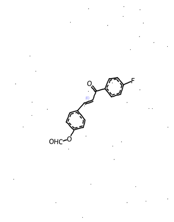 O=COc1ccc(/C=C/C(=O)c2ccc(F)cc2)cc1